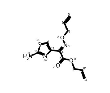 C=CCO/N=C(/C(=O)OCC=C)c1csc(N)n1